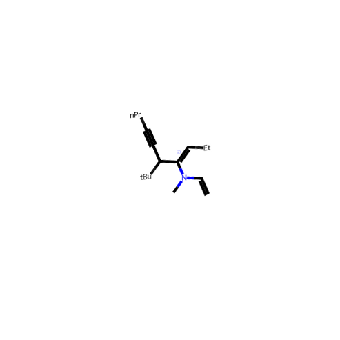 C=CN(C)/C(=C\CC)C(C#CCCC)C(C)(C)C